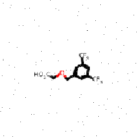 O=C(O)COCc1cc(C(F)(F)F)cc(C(F)(F)F)c1